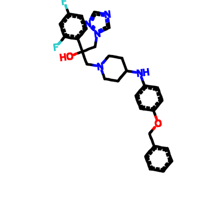 OC(CN1CCC(Nc2ccc(OCc3ccccc3)cc2)CC1)(Cn1cncn1)c1ccc(F)cc1F